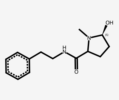 CN1C(C(=O)NCCc2ccccc2)CC[C@@H]1O